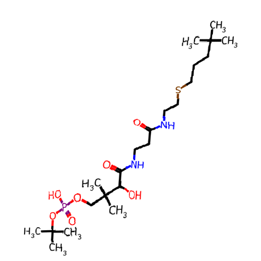 CC(C)(C)CCCSCCNC(=O)CCNC(=O)C(O)C(C)(C)COP(=O)(O)OC(C)(C)C